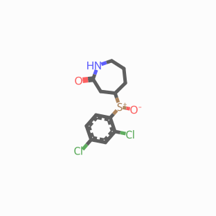 O=C1CC([S+]([O-])c2ccc(Cl)cc2Cl)CCCN1